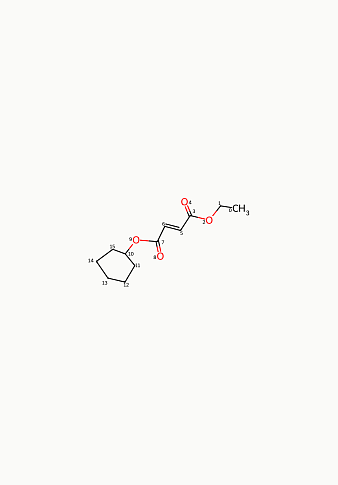 CCOC(=O)/C=C/C(=O)OC1CCCCC1